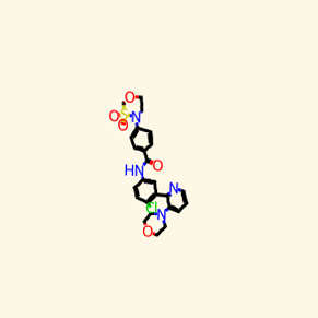 O=C(Nc1ccc(Cl)c(-c2ncccc2N2CCOCC2)c1)c1ccc(N2CCOCS2(=O)=O)cc1